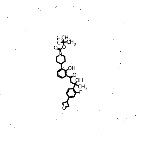 CC(C)(C)OC(=O)N1CCC(c2cccc(C(=O)CC(C)(O)c3ccc(C4COC4)cc3F)c2O)CC1